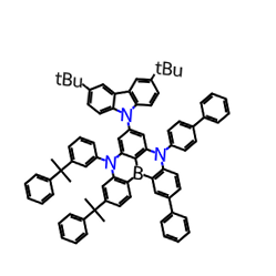 CC(C)(C)c1ccc2c(c1)c1cc(C(C)(C)C)ccc1n2-c1cc2c3c(c1)N(c1cccc(C(C)(C)c4ccccc4)c1)c1cc(C(C)(C)c4ccccc4)ccc1B3c1cc(-c3ccccc3)ccc1N2c1ccc(-c2ccccc2)cc1